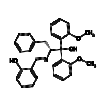 COc1ccccc1C(O)(c1ccccc1OC)[C@@H](Cc1ccccc1)N=Cc1ccccc1O